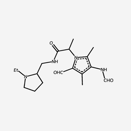 CCN1CCCC1CNC(=O)C(C)n1c(C)c(NC=O)c(C)c1C=O